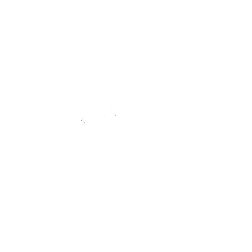 COC(=O)CC1CCN(c2ccnc3ccc(F)cc23)CC1